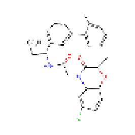 Cc1ccccc1-c1cccc([C@H](CC(=O)O)NC(=O)CN2C(=O)C(C)Oc3ccc(Cl)cc32)c1